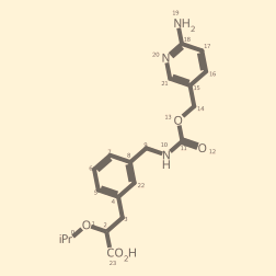 CC(C)OC(Cc1cccc(CNC(=O)OCc2ccc(N)nc2)c1)C(=O)O